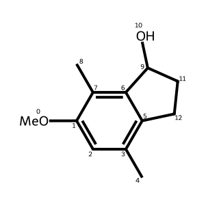 COc1cc(C)c2c(c1C)C(O)CC2